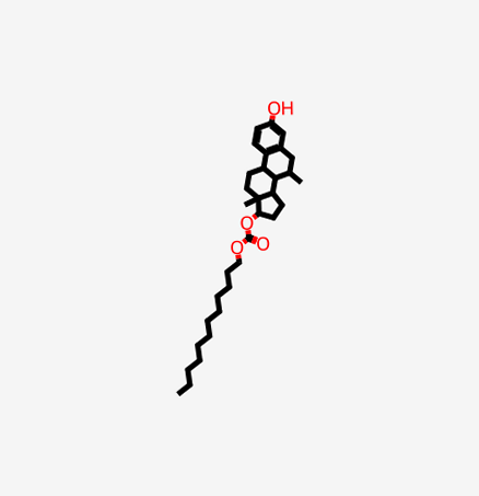 CCCCCCCCCCCCOC(=O)OC1CCC2C3C(C)Cc4cc(O)ccc4C3CCC12C